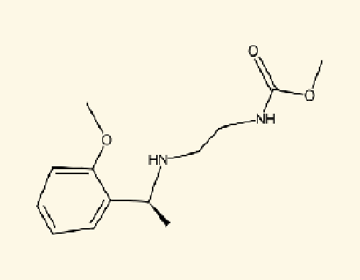 COC(=O)NCCN[C@@H](C)c1ccccc1OC